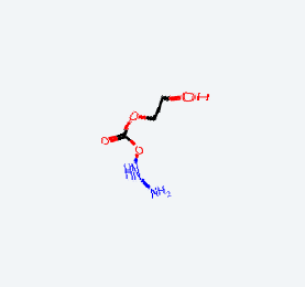 NNOC(=O)OCCO